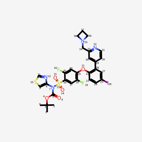 CC(C)(C)OC(=O)N(c1cscn1)S(=O)(=O)c1cc(F)c(Oc2ccc(I)cc2-c2ccnc(CN3CCC3)c2)cc1F